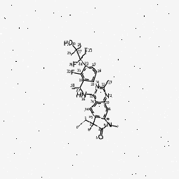 CCC1(C)C(=O)N(C)c2cc3nc(C)nc(NC(C)c4cccc(C(F)(F)C(C)(C)O)c4F)c3cc21